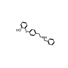 Oc1ccccc1Sc1ccc(CCNCc2ccccc2)cc1